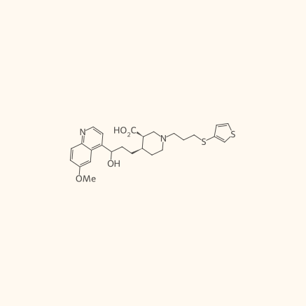 COc1ccc2nccc(C(O)CC[C@@H]3CCN(CCCSc4ccsc4)C[C@@H]3C(=O)O)c2c1